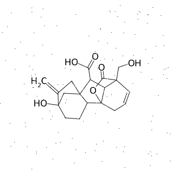 C=C1CC23CC1(O)CCC2C12CC=CC(CO)(C(=O)O1)C2C3C(=O)O